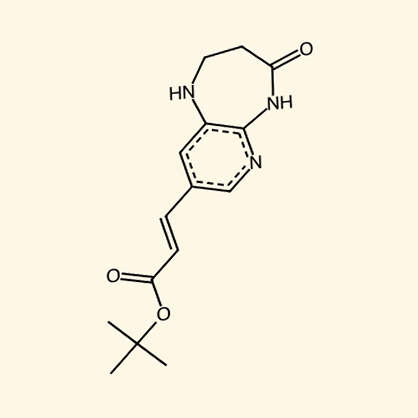 CC(C)(C)OC(=O)/C=C/c1cnc2c(c1)NCCC(=O)N2